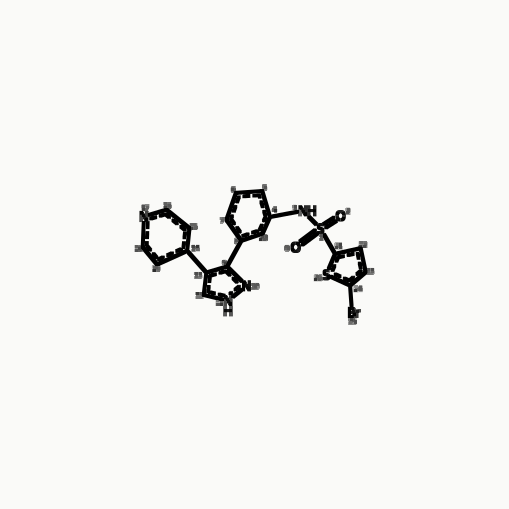 O=S(=O)(Nc1cccc(-c2n[nH]cc2-c2ccncc2)c1)c1ccc(Br)s1